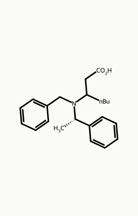 CCCCC(CC(=O)O)N(Cc1ccccc1)[C@@H](C)c1ccccc1